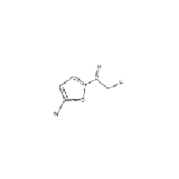 O=C(CF)c1ccc(Br)s1